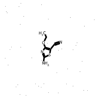 CCOc1nc(N)sc1C#N